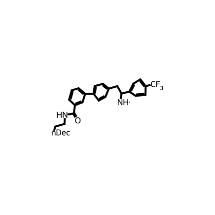 CCCCCCCCCCCCNC(=O)c1cccc(-c2ccc(CC([NH])c3ccc(C(F)(F)F)cc3)cc2)c1